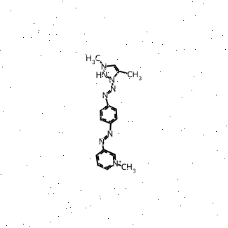 CC1=CN(C)NN1N=Nc1ccc(N=Nc2ccc[n+](C)c2)cc1